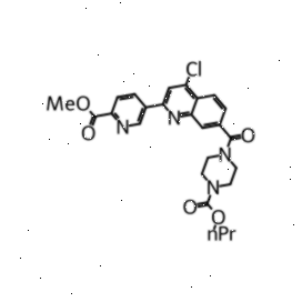 CCCOC(=O)N1CCN(C(=O)c2ccc3c(Cl)cc(-c4ccc(C(=O)OC)nc4)nc3c2)CC1